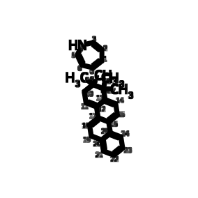 C1=CC=CNC=C1.CC1(C)CC=c2c(ccc3c2=CCc2ccccc2-3)C1(C)C